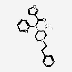 C[C@@H]1CN(CCc2ccccc2)CC[C@@H]1N(C(=O)c1ccoc1)c1ccccn1